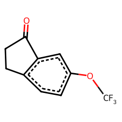 O=C1CCc2ccc(OC(F)(F)F)cc21